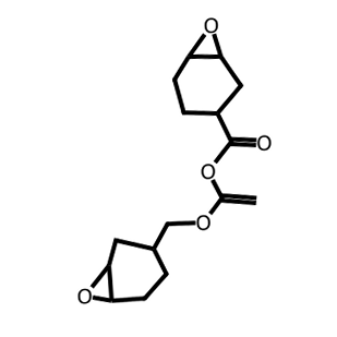 C=C(OCC1CCC2OC2C1)OC(=O)C1CCC2OC2C1